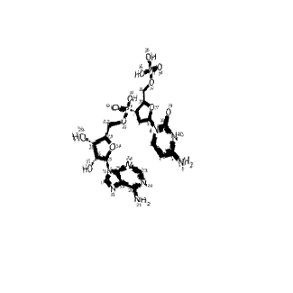 Nc1ccn(C2C[C@H](P(=O)(O)OC[C@H]3O[C@@H](n4cnc5c(N)ncnc54)[C@H](O)[C@@H]3O)[C@@H](COP(=O)(O)O)O2)c(=O)n1